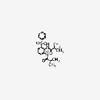 C=C(C)C(=O)Nc1cccc(S(=O)(=O)c2ccccc2)c1NC(=O)C(=C)C